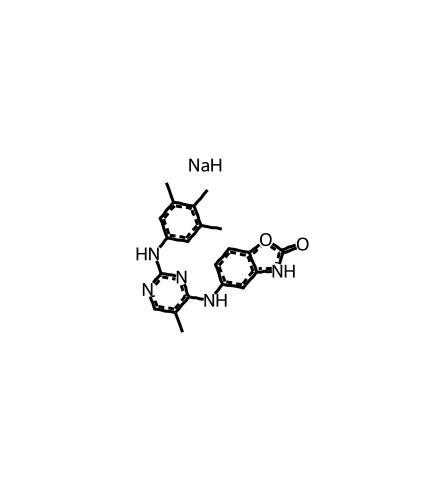 Cc1cnc(Nc2cc(C)c(C)c(C)c2)nc1Nc1ccc2oc(=O)[nH]c2c1.[NaH]